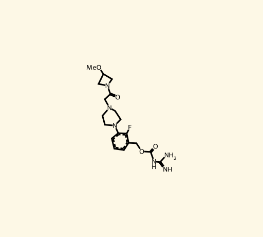 COC1CN(C(=O)CN2CCN(c3cccc(COC(=O)NC(=N)N)c3F)CC2)C1